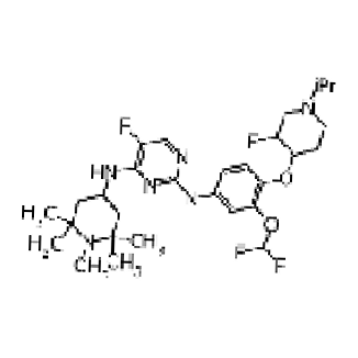 CC(C)N1CCC(Oc2ccc(Nc3ncc(F)c(NC4CC(C)(C)N(C)C(C)(C)C4)n3)cc2OC(F)F)C(F)C1